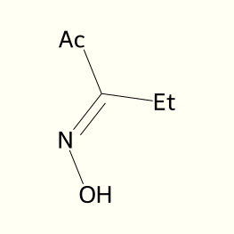 CC/C(=N\O)C(C)=O